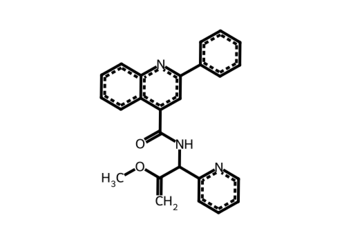 C=C(OC)C(NC(=O)c1cc(-c2ccccc2)nc2ccccc12)c1ccccn1